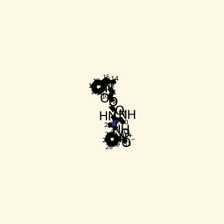 CC(=N)/C(NC(=O)COC(=O)Cn1c(C)cc2ccccc21)=C(/C)Nc1ccccc1[N+](=O)[O-]